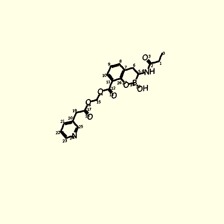 CCC(=O)NC1Cc2cccc(C(=O)OCOC(=O)Cc3cccnc3)c2OB1O